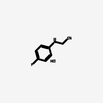 Cl.N#CCNc1ccc(F)cc1